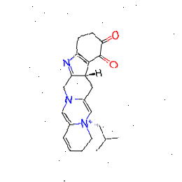 CC(C)C[N@@+]12C=C3C[C@@H]4C(=NC5=C4C(=O)C(=O)CC5)CN3C=C1C=CCC2